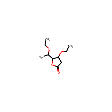 CCOC(C)C1OC(=O)CC1OCC